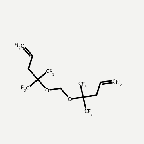 C=CCC(OCOC(CC=C)(C(F)(F)F)C(F)(F)F)(C(F)(F)F)C(F)(F)F